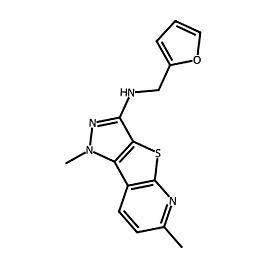 Cc1ccc2c(n1)sc1c(NCc3ccco3)nn(C)c12